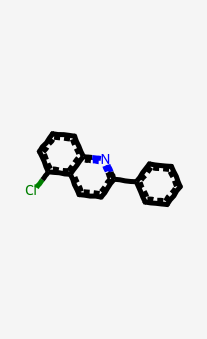 Clc1cccc2nc(-c3ccccc3)ccc12